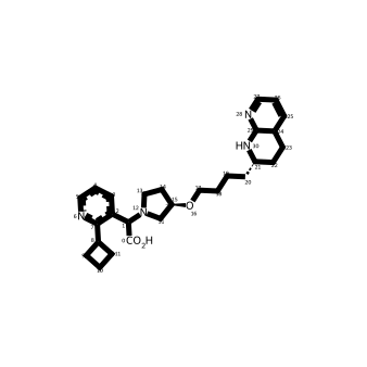 O=C(O)C(c1cccnc1C1CCC1)N1CC[C@@H](OCCCC[C@H]2CCC3C=CC=NC3N2)C1